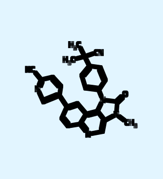 Cn1c(=O)n(-c2ccc(C(C)(C)C#N)cc2)c2c3cc(-c4ccc(C#N)nc4)ccc3ncc21